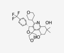 CC1(C)CC(O)c2c(nc(C3CCOCC3)c3c2C2(CCOCC2)O[C@@H]3c2ccc(C(F)(F)F)cc2)[C@@H]1O